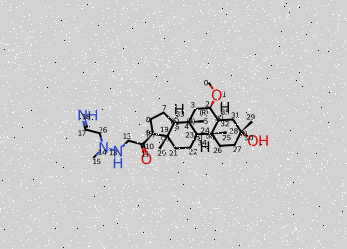 CO[C@@H]1C[C@@]2(C)[C@@H]3CC[C@H](C(=O)CNN(C)CC=N)[C@@]3(C)CC[C@@H]2[C@@]2(C)CC[C@@](C)(O)C[C@H]12